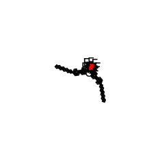 CCCCCCCCCC[C@H]1CC[C@H]([C@H]2CC[C@H](C(OC(c3ccc(F)c(F)c3F)[C@H]3CC[C@H]([C@H]4CC[C@H](CCCCCCCCCC)CC4)CC3)c3ccc(F)c(F)c3F)CC2)CC1